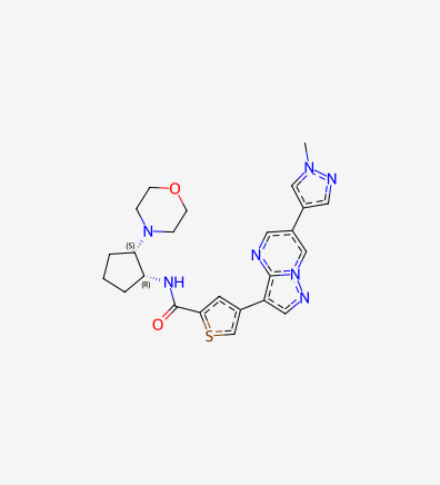 Cn1cc(-c2cnc3c(-c4csc(C(=O)N[C@@H]5CCC[C@@H]5N5CCOCC5)c4)cnn3c2)cn1